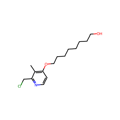 Cc1c(OCCCCCCCCO)ccnc1CCl